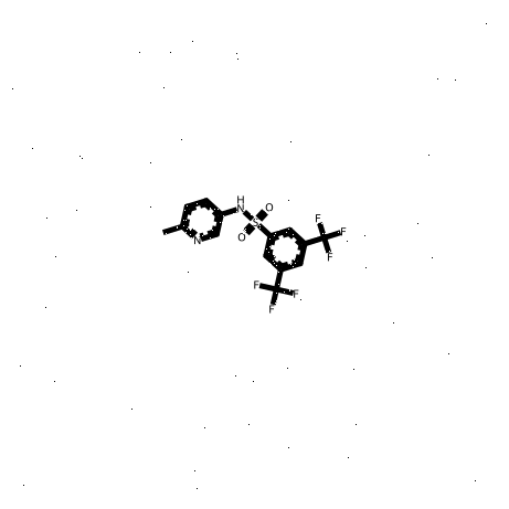 Cc1ccc(NS(=O)(=O)c2cc(C(F)(F)F)cc(C(F)(F)F)c2)cn1